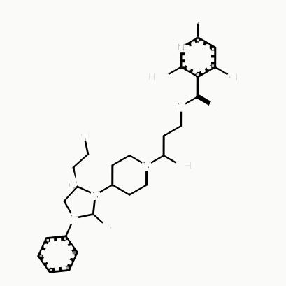 CCC[C@@H]1CN(c2ccccc2)C(O)N1C1CCN(C(C)CCNC(=O)c2c(C)cc(Cl)nc2C)CC1